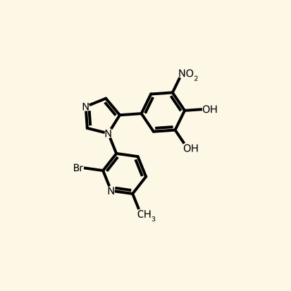 Cc1ccc(-n2cncc2-c2cc(O)c(O)c([N+](=O)[O-])c2)c(Br)n1